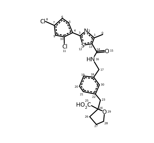 Cc1nc(-c2ccc(Cl)cc2Cl)sc1C(=O)NCc1cccc(CC2(C(=O)O)CCCO2)c1